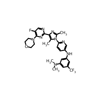 Cc1nc(-c2ncc(F)c(N3CCOCC3)n2)c(C)n1-c1ccc(Nc2cc(N(C)C)cc(C(F)(F)F)c2)cn1